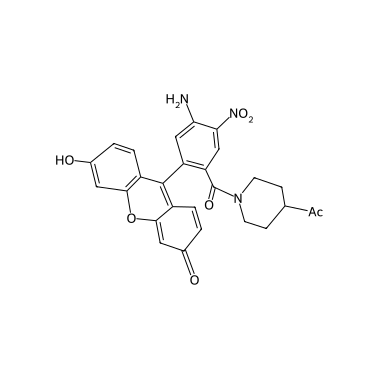 CC(=O)C1CCN(C(=O)c2cc([N+](=O)[O-])c(N)cc2-c2c3ccc(=O)cc-3oc3cc(O)ccc23)CC1